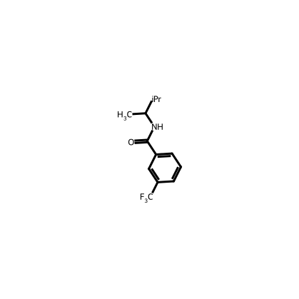 CC(C)C(C)NC(=O)c1cccc(C(F)(F)F)c1